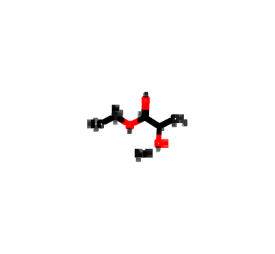 C[SiH2]OC(=O)C(C)O.[NaH]